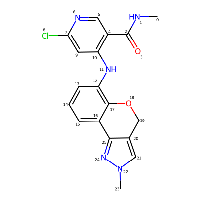 CNC(=O)c1cnc(Cl)cc1Nc1cccc2c1OCc1cn(C)nc1-2